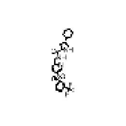 O=C(NCc1ccc(S(=O)(=O)c2cccc(C(F)(F)F)c2)cn1)[C@H]1C[C@@H](C2CCCCC2)CN1